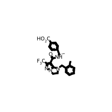 Cc1ccccc1CN1CCn2nc(C(F)(F)F)c(C(=O)N[C@@H](C)c3ccc(C(=O)O)cc3)c21